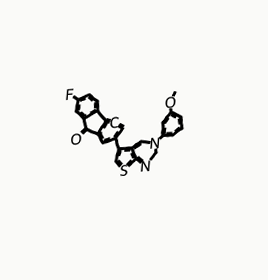 COc1cccc(N2C=c3c(-c4ccc5c(c4)C(=O)c4cc(F)ccc4-5)csc3=NC2)c1